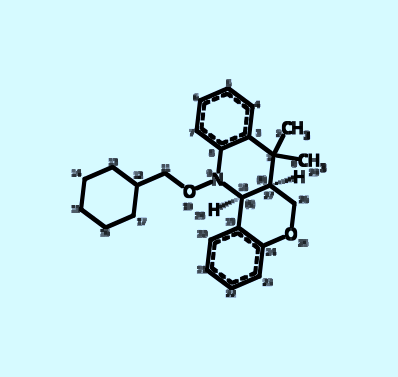 CC1(C)c2ccccc2N(OCC2CCCCC2)[C@@H]2c3ccccc3OC[C@@H]21